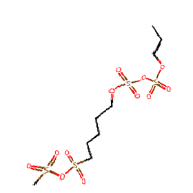 CCCOS(=O)(=O)OS(=O)(=O)OCCCCCS(=O)(=O)OS(C)(=O)=O